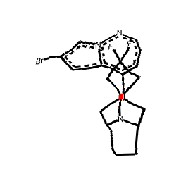 FC1(F)CC(N2C3CCC2CN(c2ccnn4cc(Br)cc24)C3)C1